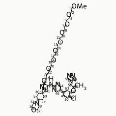 COCCOCCOCCOCCOCCOCCOCCOCCCOc1nn(C2CCC(N3CCOCC3)CC2)cc1Nc1ncc(-c2ccc(Cl)c(O[C@@H](C)Cn3cnnn3)c2)cn1